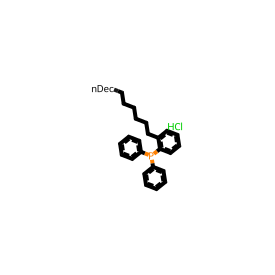 CCCCCCCCCCCCCCCCc1ccccc1P(c1ccccc1)c1ccccc1.Cl